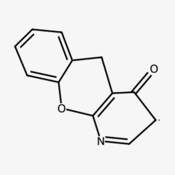 O=C1[CH]C=NC2=C1Cc1ccccc1O2